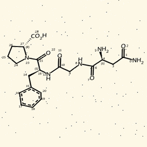 NC(=O)C[C@H](N)C(=O)NCC(=O)N[C@@H](Cc1ccccc1)C(=O)N1CCC[C@@H]1C(=O)O